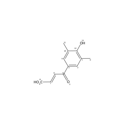 Cc1cc(C(=O)C=CC(=O)O)cc(C)c1O